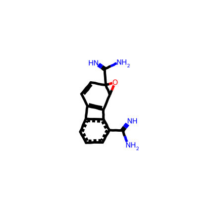 N=C(N)c1cccc2c1C1=C2C=CC2(C(=N)N)OC12